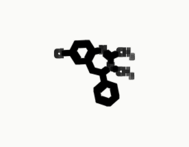 CC1=Nc2ccc(Cl)cc2CC(c2ccccc2)N1C